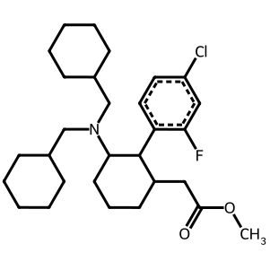 COC(=O)CC1CCCC(N(CC2CCCCC2)CC2CCCCC2)C1c1ccc(Cl)cc1F